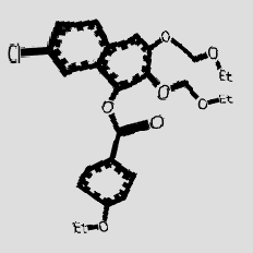 CCOCOc1cc2ccc(Cl)cc2c(OC(=O)c2ccc(OCC)cc2)c1OCOCC